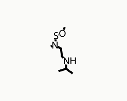 COSN(C)CCNC(C)C